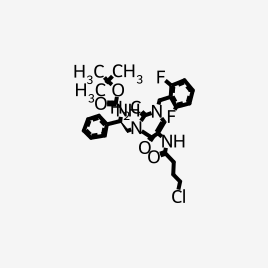 C=C1N(Cc2c(F)cccc2F)C=C(NC(=O)CCCCl)C(=O)N1C[C@H](NC(=O)OC(C)(C)C)c1ccccc1